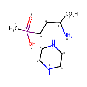 C1CNCCN1.CP(=O)(O)CCC(N)C(=O)O